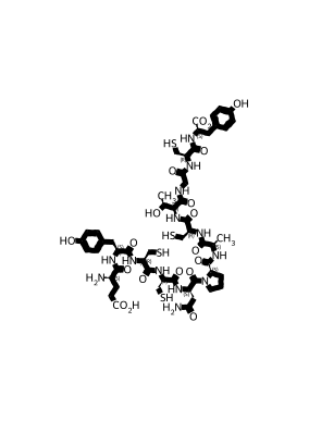 C[C@H](NC(=O)[C@@H]1CCCN1C(=O)[C@H](CC(N)=O)NC(=O)[C@H](CS)NC(=O)[C@H](CS)NC(=O)[C@H](Cc1ccc(O)cc1)NC(=O)[C@@H](N)CCC(=O)O)C(=O)N[C@@H](CS)C(=O)N[C@H](C(=O)NCC(=O)N[C@@H](CS)C(=O)N[C@@H](Cc1ccc(O)cc1)C(=O)O)[C@@H](C)O